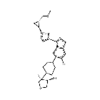 COC[C@H]1C[C@@H]1n1cc(-n2ncc3cc(Cl)c(N4CCN([C@]5(C)COC[C@@H]5O)CC4)cc32)cn1